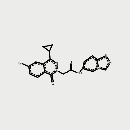 O=C(Cn1nc(C2CC2)c2cc(Br)ccc2c1=O)Nc1ccc2nncn2c1